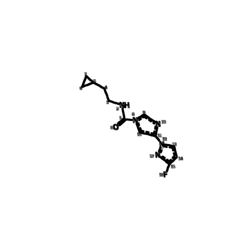 O=C(NCCC1CC1)n1cnc(-n2ccc(F)n2)c1